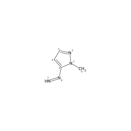 Cn1nccc1N=N